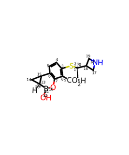 C[C@@H](Sc1ccc2c(c1C(=O)O)OB(O)[C@H]1CC21)C1CNC1